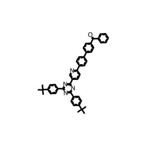 CC(C)(C)c1ccc(-c2nc(-c3ccc(C(C)(C)C)cc3)nc(-c3ccc(-c4ccc(-c5ccc(C(=O)c6ccccc6)cc5)cc4)nc3)n2)cc1